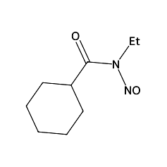 CCN(N=O)C(=O)C1CCCCC1